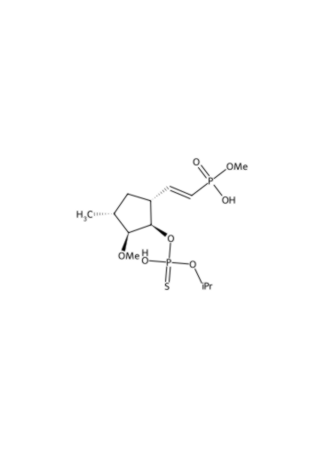 CO[C@@H]1[C@H](OP(O)(=S)OC(C)C)[C@@H](/C=C/P(=O)(O)OC)C[C@H]1C